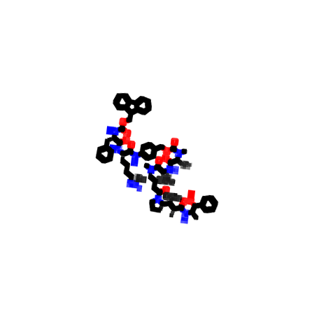 CC[C@H](C)[C@@H]([C@@H](CC(=O)N1CCC[C@H]1[C@H](OC)[C@@H](C)C(=O)N[C@H](C)[C@@H](O)c1ccccc1)OC)N(C)C(=O)[C@@H](NC(=O)[C@H](C(C)C)N(C)C(=O)OCc1ccc(NC(=O)[C@H](CCCCN)NC(=O)[C@H](Cc2ccccc2)NC(=O)OCC2c3ccccc3-c3ccccc32)cc1)C(C)C